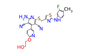 Cc1ccc(Nc2nc(CSc3nc(N)c(C#N)c(-c4ccc(OCCO)nc4)c3C#N)cs2)cc1F